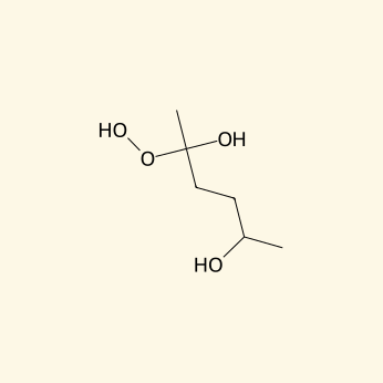 CC(O)CCC(C)(O)OO